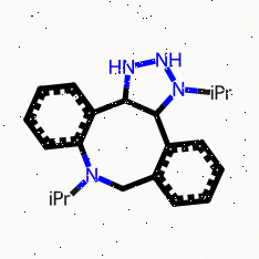 CC(C)N1Cc2ccccc2C2C(NNN2C(C)C)c2ccccc21